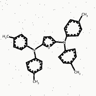 Cc1ccc(N(c2ccc(C)cc2)c2ccc(N(c3ccc(C)cc3)c3ccc(C)cc3)s2)cc1